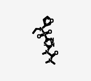 CCN(c1ccoc1)S(=O)(=O)c1nnc(N(C)C(=O)N(C)C)s1